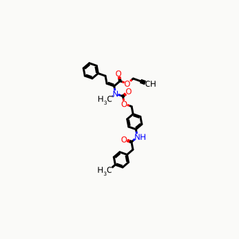 C#CCOC(=O)/C(=C\Cc1ccccc1)N(C)C(=O)OCc1ccc(NC(=O)Cc2ccc(C)cc2)cc1